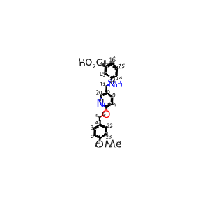 COc1ccc(COc2ccc(CNc3cccc(C(=O)O)c3)cn2)cc1